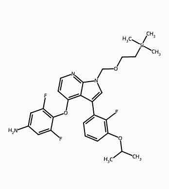 CC(C)Oc1cccc(-c2cn(COCC[Si](C)(C)C)c3nccc(Oc4c(F)cc(N)cc4F)c23)c1F